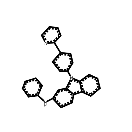 c1ccc(Nc2ccc3c4ccccc4n(-c4ccc(-c5ccccn5)cc4)c3c2)cc1